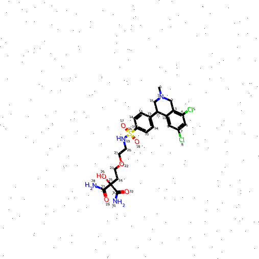 CN1Cc2c(Cl)cc(Cl)cc2C(c2ccc(S(=O)(=O)NCCOCCC(O)(C(N)=O)C(N)=O)cc2)C1